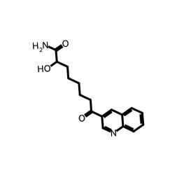 NC(=O)C(O)CCCCCC(=O)c1cnc2ccccc2c1